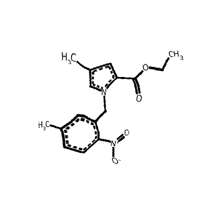 CCOC(=O)c1cc(C)cn1Cc1cc(C)ccc1[N+](=O)[O-]